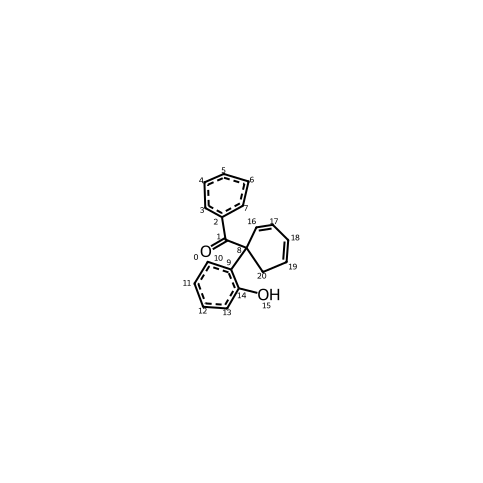 O=C(c1ccccc1)C1(c2ccccc2O)C=CC=CC1